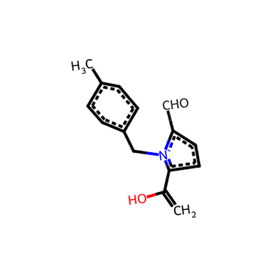 C=C(O)c1ccc(C=O)n1Cc1ccc(C)cc1